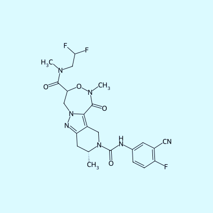 C[C@@H]1Cc2nn3c(c2CN1C(=O)Nc1ccc(F)c(C#N)c1)C(=O)N(C)OC(C(=O)N(C)CC(F)F)C3